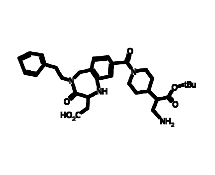 CC(C)(C)OC(=O)C(CN)C1CCN(C(=O)c2ccc3c(c2)NC(CC(=O)O)C(=O)N(CCc2ccccc2)C3)CC1